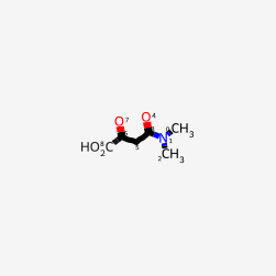 CN(C)C(=O)CC(=O)C(=O)O